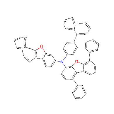 c1ccc(-c2cccc3c2oc2c(N(c4ccc(-c5cccc6ccccc56)cc4)c4ccc5c(c4)oc4c6ccccc6ccc54)ccc(-c4ccccc4)c23)cc1